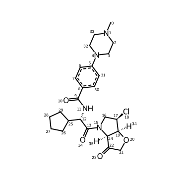 CN1CCN(c2ccc(C(=O)N[C@H](C(=O)N3C[C@@H](Cl)[C@H]4OCC(=O)[C@H]43)C3CCCC3)cc2)CC1